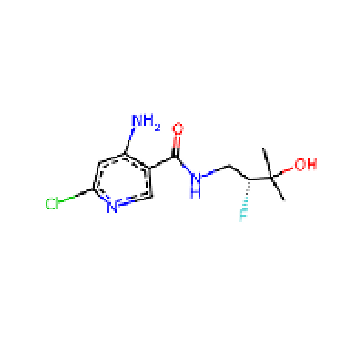 CC(C)(O)[C@H](F)CNC(=O)c1cnc(Cl)cc1N